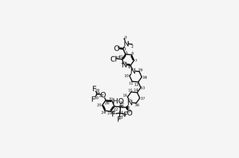 CN(C)C(=O)c1ccc(N2CCC(CC3CCN(C(=O)[C@](O)(c4cccc(OC(F)F)c4)C(F)(F)F)CC3)CC2)nc1Cl